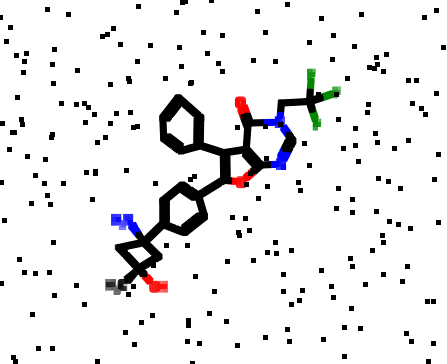 C[C@]1(O)C[C@@](N)(c2ccc(-c3oc4ncn(CC(F)(F)F)c(=O)c4c3-c3ccccc3)cc2)C1